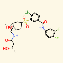 C[C@H](O)CC(=O)NC[C@@]1(O)C2CC(S(=O)(=O)c3cc(C(=O)Nc4ccc(F)c(F)c4)ccc3Cl)CC1[C@@H](C)C2